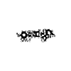 C=Nc1ccc(S(=O)(=O)n2cc3c(n2)CN(C(=O)[C@@]2(c4cccc(C)n4)CCOC2)C3)cc1SC